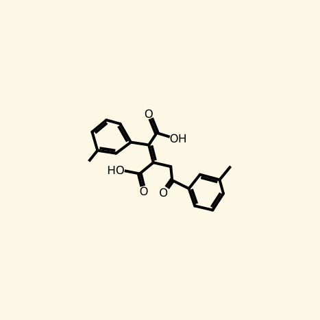 Cc1cccc(C(=O)CC(C(=O)O)=C(C(=O)O)c2cccc(C)c2)c1